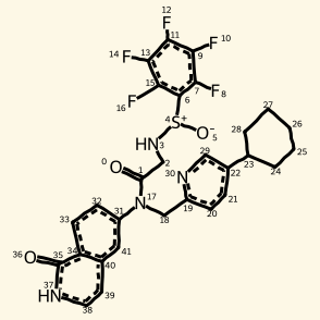 O=C(CN[S+]([O-])c1c(F)c(F)c(F)c(F)c1F)N(Cc1ccc(C2CCCCC2)cn1)c1ccc2c(=O)[nH]ccc2c1